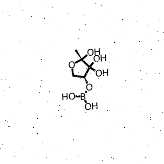 C[C@]1(O)OC[C@H](OB(O)O)C1(O)O